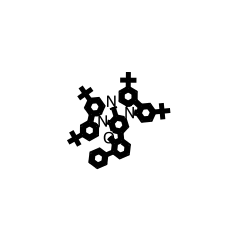 CC(C)(C)c1ccc2c(c1)c1cc(C(C)(C)C)ccc1n2-c1cc2c(oc3c(-c4ccccc4)cccc32)c(-n2c3ccc(C(C)(C)C)cc3c3cc(C(C)(C)C)ccc32)c1C#N